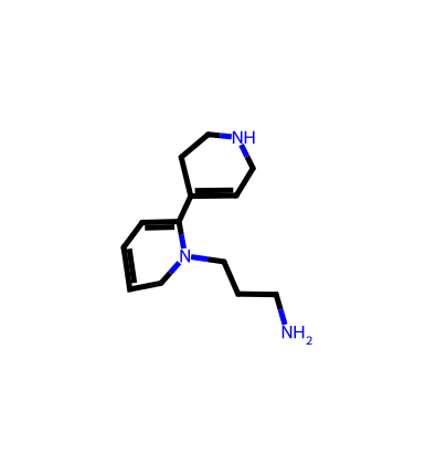 NCCCN1CC=CC=C1C1=CCNCC1